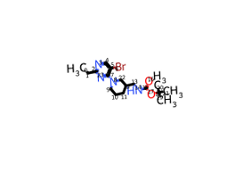 CCc1ncc(Br)c(N2CCCC(CNC(=O)OC(C)(C)C)C2)n1